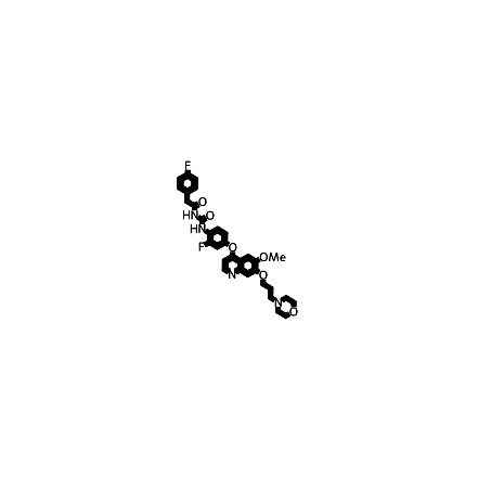 COc1cc2c(Oc3ccc(NC(=O)NC(=O)Cc4ccc(F)cc4)c(F)c3)ccnc2cc1OCCCN1CCOCC1